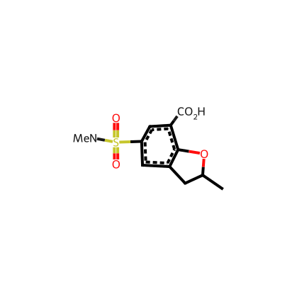 CNS(=O)(=O)c1cc2c(c(C(=O)O)c1)OC(C)C2